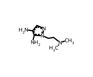 CN(C)CCn1ncc(N)c1N